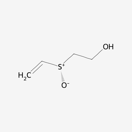 C=C[S@@+]([O-])CCO